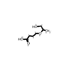 [CH2]C(CO)OCCCC(=O)O